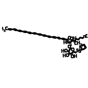 CC#CC#CC#CC#CC#CC#CC#CC#CC#CC#CC#CC#CC(=O)N[C@@H](CO[C@H]1OC(CSSc2ccccn2)[C@H](O)[C@H](O)C1O)[C@H](O)[C@H](C)CCCCCCCCCCCCCC